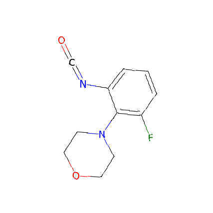 O=C=Nc1cccc(F)c1N1CCOCC1